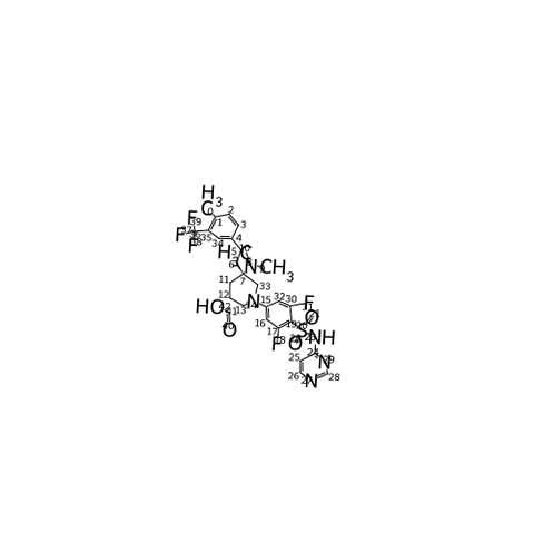 Cc1ccc(CC[C@]2(N(C)C)CCCN(c3cc(F)c(S(=O)(=O)Nc4ccncn4)c(F)c3)C2)cc1C(F)(F)F.O=CO